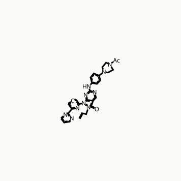 C=CCn1c(=O)c2cnc(Nc3ccc(N4CCN(C(C)=O)CC4)cc3)nc2n1-c1cccc(-c2ncccn2)n1